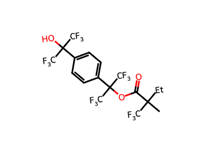 CCC(C)(C(=O)OC(c1ccc(C(O)(C(F)(F)F)C(F)(F)F)cc1)(C(F)(F)F)C(F)(F)F)C(F)(F)F